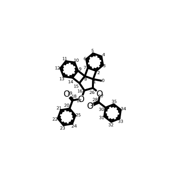 CC12c3ccccc3C13c1ccccc1C3C(OC(=O)c1ccccc1)C2OC(=O)c1ccccc1